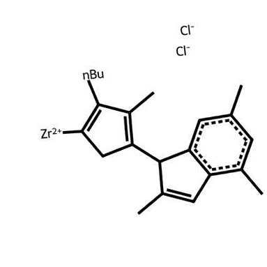 CCCCC1=[C]([Zr+2])CC(C2C(C)=Cc3c(C)cc(C)cc32)=C1C.[Cl-].[Cl-]